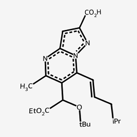 CCOC(=O)C(OC(C)(C)C)c1c(C)nc2cc(C(=O)O)nn2c1/C=C/CC(C)C